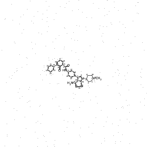 CN1CCC(n2cc(-c3ccc(NC(=O)c4cccn(-c5ccccc5)c4=O)cc3)c3c(N)ncnc32)CC1